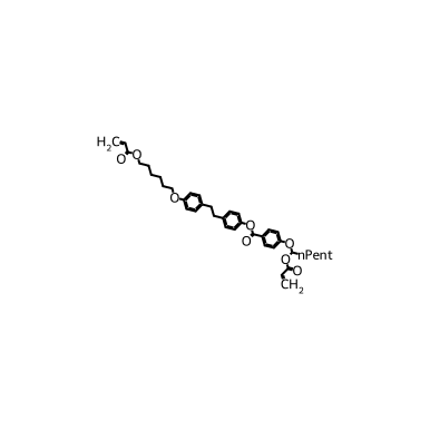 C=CC(=O)OCCCCCCOc1ccc(CCc2ccc(OC(=O)c3ccc(OC(CCCCC)OC(=O)C=C)cc3)cc2)cc1